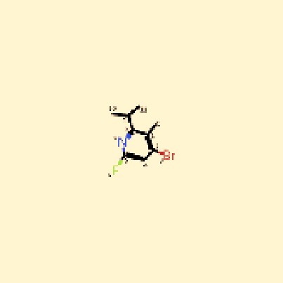 Cc1c(Br)cc(F)nc1C(C)C